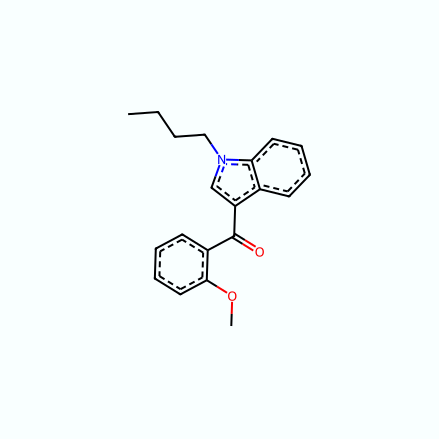 CCCCn1cc(C(=O)c2ccccc2OC)c2ccccc21